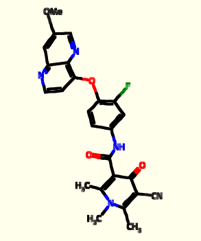 COc1cnc2c(Oc3ccc(NC(=O)c4c(C)n(C)c(C)c(C#N)c4=O)cc3F)ccnc2c1